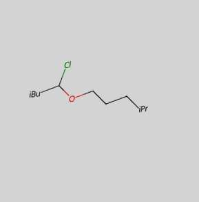 CCC(C)C(Cl)OCCCC(C)C